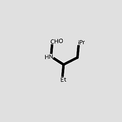 CCC(CC(C)C)NC=O